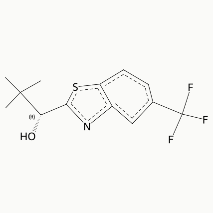 CC(C)(C)[C@@H](O)c1nc2cc(C(F)(F)F)ccc2s1